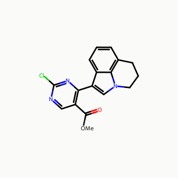 COC(=O)c1cnc(Cl)nc1-c1cn2c3c(cccc13)CCC2